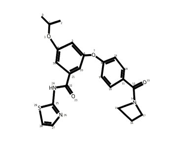 CC(C)Oc1cc(Oc2ccc(C(=O)N3CCC3)cc2)cc(C(=O)Nc2nccs2)c1